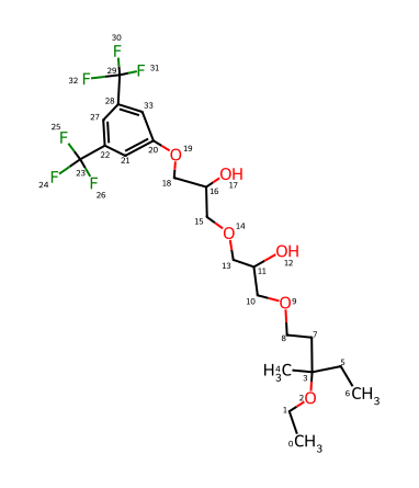 CCOC(C)(CC)CCOCC(O)COCC(O)COc1cc(C(F)(F)F)cc(C(F)(F)F)c1